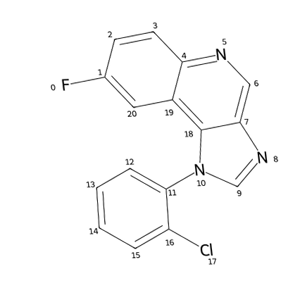 Fc1ccc2ncc3ncn(-c4ccccc4Cl)c3c2c1